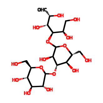 O=C[C@H](O)[C@@H](O)[C@H](OC1O[C@H](CO)[C@@H](O)[C@H](OC2O[C@H](CO)[C@@H](O)[C@H](O)[C@H]2O)[C@H]1O)[C@H](O)CO